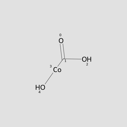 O=[C](O)[Co][OH]